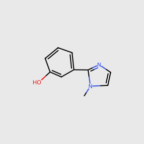 Cn1ccnc1-c1cccc(O)c1